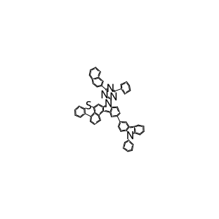 c1ccc(-c2nc(-c3ccc4ccccc4c3)nc(-n3c4ccc(-c5ccc6c(c5)c5ccccc5n6-c5ccccc5)cc4c4c5cccc6c5c(cc43)Sc3ccccc3-6)n2)cc1